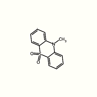 CN1c2c[c]ccc2S(=O)(=O)c2ccccc21